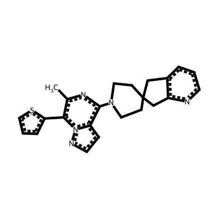 Cc1nc(N2CCC3(CC2)Cc2cccnc2C3)c2ccnn2c1-c1cccs1